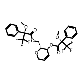 CO[C@](C(=O)OC[C@H]1OCC=C[C@@H]1OC(=O)[C@@](OC)(c1ccccc1)C(F)(F)F)(c1ccccc1)C(F)(F)F